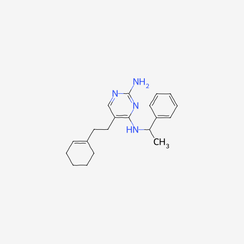 CC(Nc1nc(N)ncc1CCC1=CCCCC1)c1ccccc1